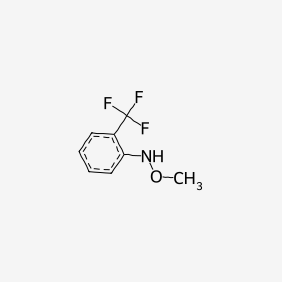 CONc1ccccc1C(F)(F)F